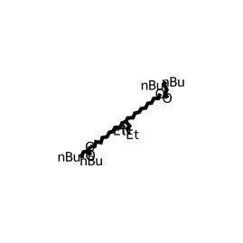 CCCCC(CCCC)CC(=O)OCCCCCCCCCCC(CCCCCCCCCCOC(=O)CC(CCCC)CCCC)CN(CC)CC